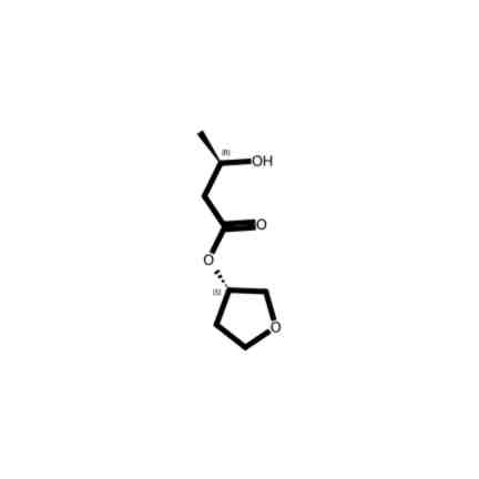 C[C@@H](O)CC(=O)O[C@H]1CCOC1